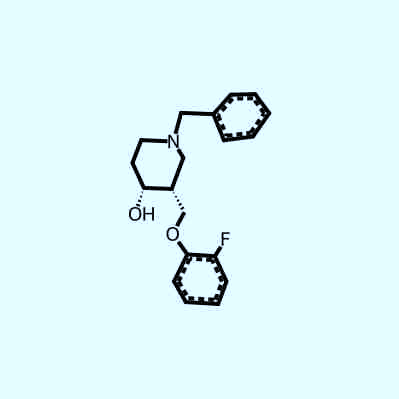 O[C@@H]1CCN(Cc2ccccc2)C[C@@H]1COc1ccccc1F